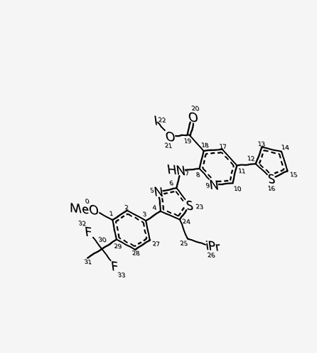 COc1cc(-c2nc(Nc3ncc(-c4cccs4)cc3C(=O)OI)sc2CC(C)C)ccc1C(C)(F)F